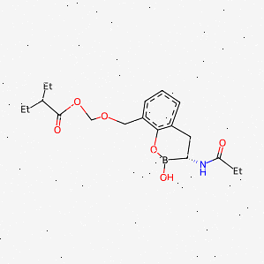 CCC(=O)N[C@H]1Cc2cccc(COCOC(=O)C(CC)CC)c2OB1O